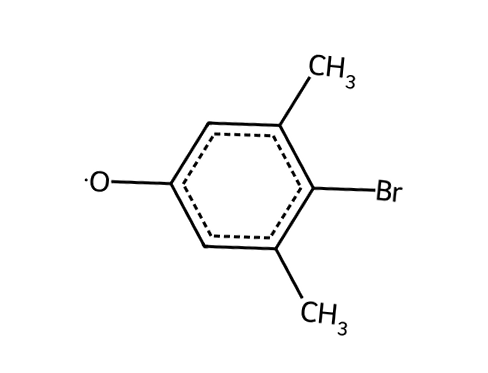 Cc1cc([O])cc(C)c1Br